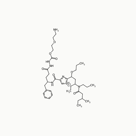 CCCOC(CC(C(C)C)N(CCC)C(=O)CC(C)CC)c1nc(C(=O)NC(CCC(=O)NNC(=O)OCCOCCN)Cc2ccccc2)cs1